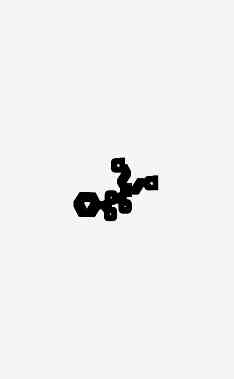 O=C(OC(=O)N(CCCl)CCCl)c1ccccc1